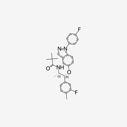 Cc1ccc([C@@H](Oc2ccc3c(cnn3-c3ccc(F)cc3)c2)[C@H](C)NC(=O)C(C)(C)C)cc1F